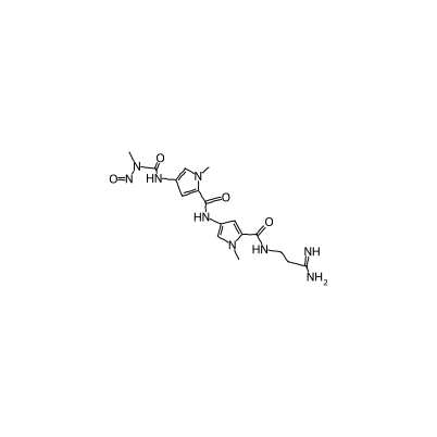 CN(N=O)C(=O)Nc1cc(C(=O)Nc2cc(C(=O)NCCC(=N)N)n(C)c2)n(C)c1